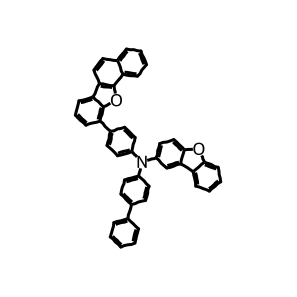 c1ccc(-c2ccc(N(c3ccc(-c4cccc5c4oc4c6ccccc6ccc54)cc3)c3ccc4oc5ccccc5c4c3)cc2)cc1